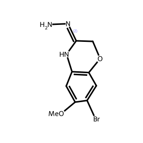 COc1cc2c(cc1Br)OC/C(=N/N)N2